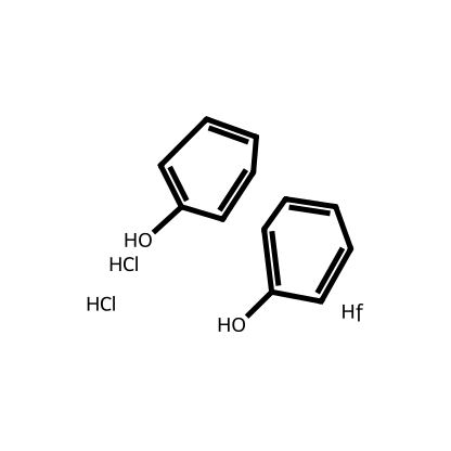 Cl.Cl.Oc1ccccc1.Oc1ccccc1.[Hf]